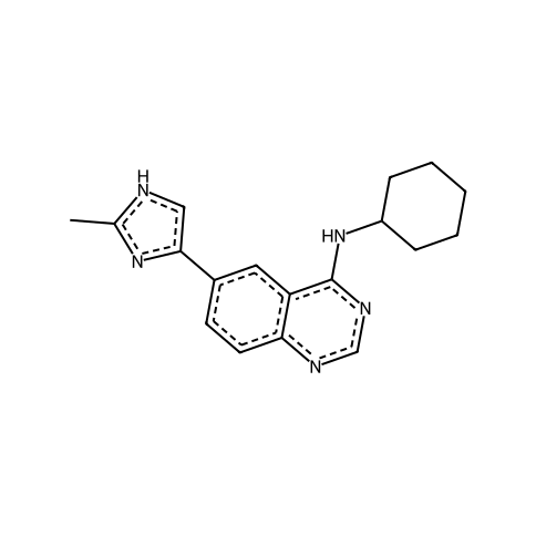 Cc1nc(-c2ccc3ncnc(NC4CCCCC4)c3c2)c[nH]1